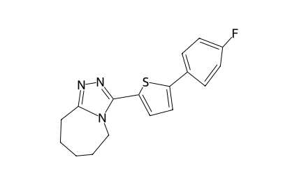 Fc1ccc(-c2ccc(-c3nnc4n3CCCCC4)s2)cc1